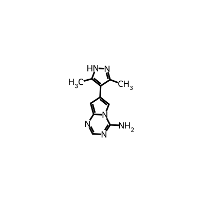 Cc1n[nH]c(C)c1-c1cc2ncnc(N)n2c1